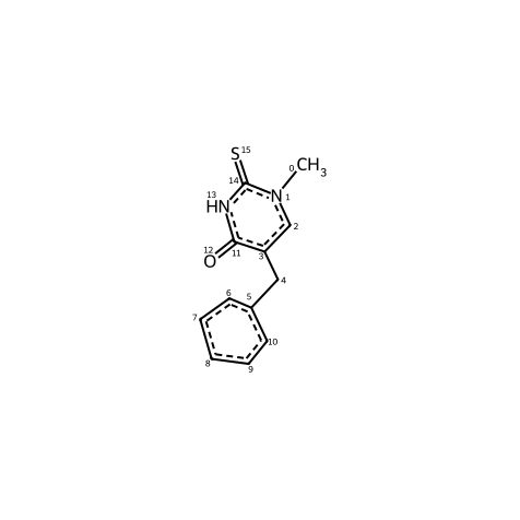 Cn1cc(Cc2ccccc2)c(=O)[nH]c1=S